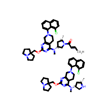 C[C@H]1C[C@@H](N(C)c2nc(OCC34CCCN3CCC4)nc3c2CCN(c2cccc4cccc(Cl)c24)C3)CN1.C[C@H]1C[C@@H](N(C)c2nc(OCC34CCCN3CCC4)nc3c2CCN(c2cccc4cccc(Cl)c24)C3)CN1C(=O)/C=C/C(=O)O